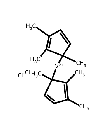 CC1=C(C)[C](C)([V+2][C]2(C)C=CC(C)=C2C)C=C1.[Cl-].[Cl-]